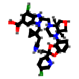 C[C@]1(c2ccc(Cl)cn2)Oc2cccc(N3CCN(Cc4nc5c(Cl)cc(C(=O)O)cc5n4CC4(CC#N)CC4)[C@H]4COC[C@H]43)c2O1